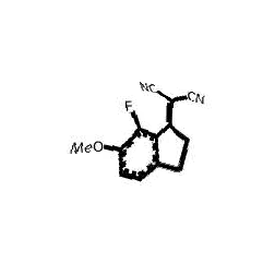 COc1ccc2c(c1F)C(=C(C#N)C#N)CC2